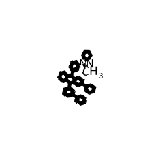 Cc1nc2ccccc2n1-c1cccc(-c2c3ccccc3c(-c3cccc(-c4ccccc4)c3)c3cc(-c4ccccc4)ccc23)c1